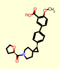 COc1ccc(-c2ccc([C@H]3CC34CCN(C(=O)[C@H]3CCCO3)CC4)cc2)cc1C(=O)O